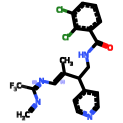 C=N/C(=N\C=C(/C)C(CNC(=O)c1cccc(Cl)c1Cl)c1ccncc1)C(F)(F)F